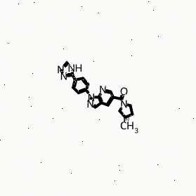 C[C@H]1CCN(C(=O)c2cnc3c(cnn3-c3ccc(-c4nnc[nH]4)cc3)c2)C1